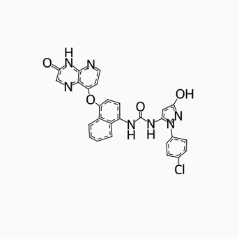 O=C(Nc1ccc(Oc2ccnc3[nH]c(=O)cnc23)c2ccccc12)Nc1cc(O)nn1-c1ccc(Cl)cc1